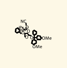 COc1ccc(C(OCC2OCC(OCc3ccccc3)[C@@H]2OP(OCCC#N)N(C(C)C)C(C)C)(c2ccccc2)c2ccc(OC)cc2)cc1